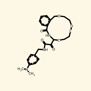 CN(C)c1ccc(CNC(=O)C(=O)C2CCCCOCCOCc3ccccc3C(=O)N2)cc1